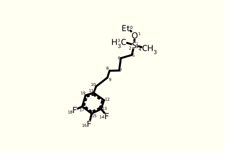 CCO[Si](C)(C)CCCCCCc1cc(F)c(F)c(F)c1